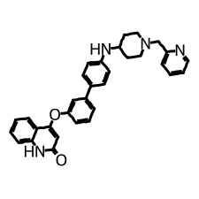 O=c1cc(Oc2cccc(-c3ccc(NC4CCN(Cc5ccccn5)CC4)cc3)c2)c2ccccc2[nH]1